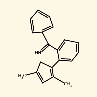 CC1=CC(C)=C(c2ccccc2C(=N)c2ccccc2)C1